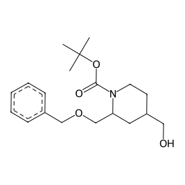 CC(C)(C)OC(=O)N1CCC(CO)CC1COCc1ccccc1